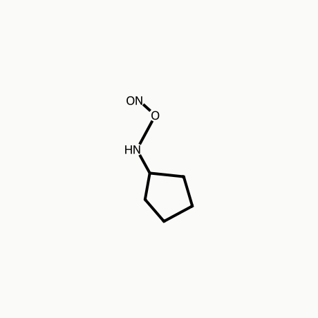 O=NONC1CCCC1